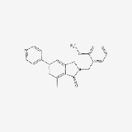 Cc1cc(-c2ccncc2)cc2c1C(=O)N(Cc1ccccc1OC(F)(F)F)C2